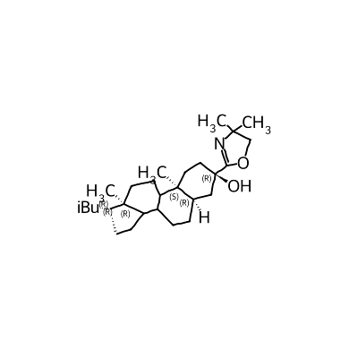 CC[C@@H](C)[C@H]1CCC2C3CC[C@@H]4C[C@@](O)(C5=NC(C)(C)CO5)CC[C@]4(C)C3CC[C@@]21C